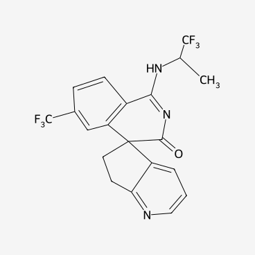 CC(NC1=NC(=O)C2(CCc3ncccc32)c2cc(C(F)(F)F)ccc21)C(F)(F)F